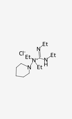 CCN=C(NCC)[N+](CC)(CC)N1CCCCC1.[Cl-]